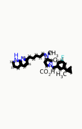 COc1c(F)cc(C2(C)CC2)cc1[C@H](C(=O)O)N1CC[C@@H](N(C)CCCCCc2ccc3c(n2)NCCC3)C1